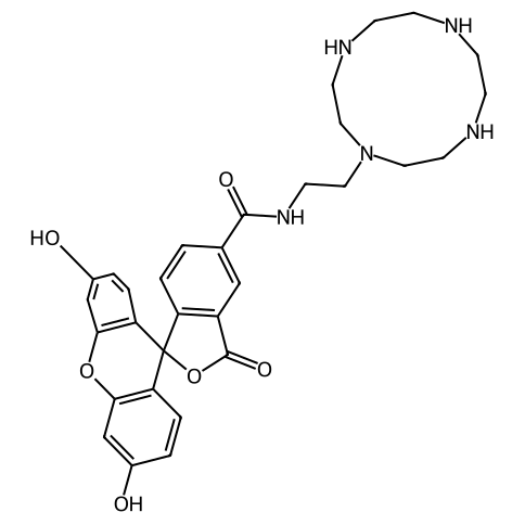 O=C(NCCN1CCNCCNCCNCC1)c1ccc2c(c1)C(=O)OC21c2ccc(O)cc2Oc2cc(O)ccc21